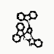 c1ccc2c(c1)-c1ccccc1C21Oc2nc3ccccc3n2-c2ccc(-n3c4ccccc4c4ccccc43)cc21